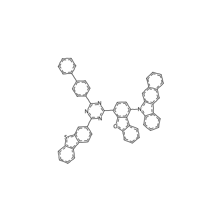 c1ccc(-c2ccc(-c3nc(-c4ccc5c(c4)sc4ccccc45)nc(-c4ccc(-n5c6ccccc6c6cc7ccccc7cc65)c5c4oc4ccccc45)n3)cc2)cc1